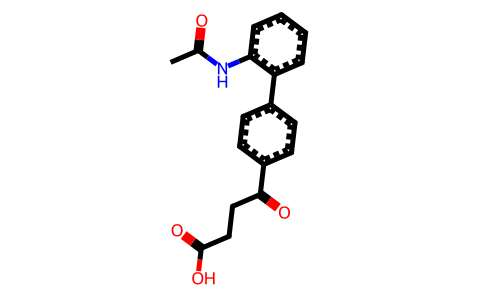 CC(=O)Nc1ccccc1-c1ccc(C(=O)CCC(=O)O)cc1